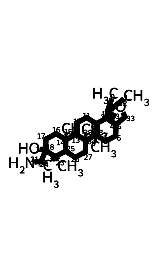 CC1(C)CCC23CC[C@@]4(C)C(CCC5[C@@]6(C)CCC(O)(CN)C(C)(C)C6CC[C@]54C)C2C1OC3